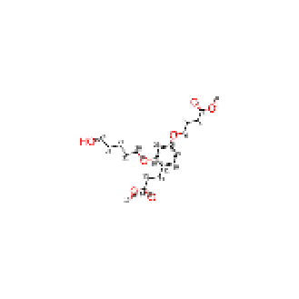 COC(=O)CCCOc1ccc(CCC(=O)OC)c(OCCCCCO)c1